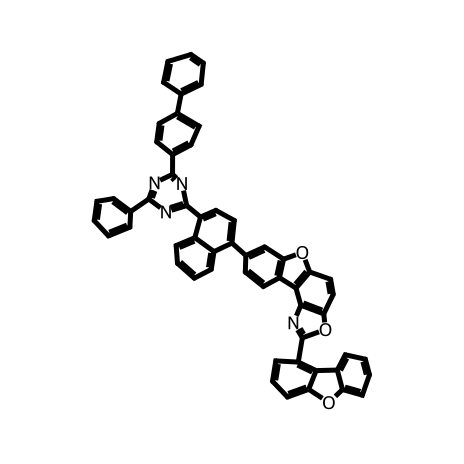 c1ccc(-c2ccc(-c3nc(-c4ccccc4)nc(-c4ccc(-c5ccc6c(c5)oc5ccc7oc(-c8cccc9oc%10ccccc%10c89)nc7c56)c5ccccc45)n3)cc2)cc1